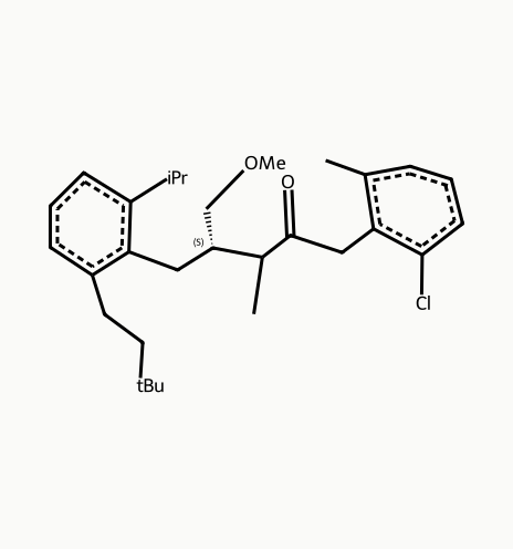 COC[C@@H](Cc1c(CCC(C)(C)C)cccc1C(C)C)C(C)C(=O)Cc1c(C)cccc1Cl